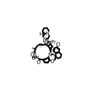 CCCO[C@]1(CN2CCN3CCCC[C@@H]3C2)/C=C/C[C@H](C)[C@@H](C)S(=O)(=O)NC(=O)c2ccc3c(c2)N(C[C@@H]2CC[C@H]21)C[C@@]1(CCCc2cc(Cl)ccc21)CO3